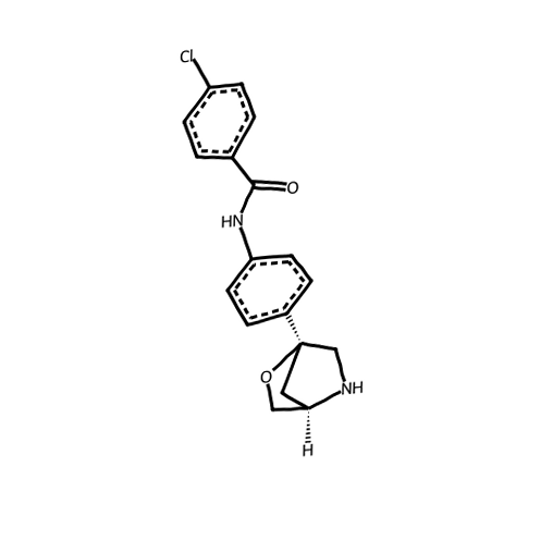 O=C(Nc1ccc([C@@]23CN[C@@H](CO2)C3)cc1)c1ccc(Cl)cc1